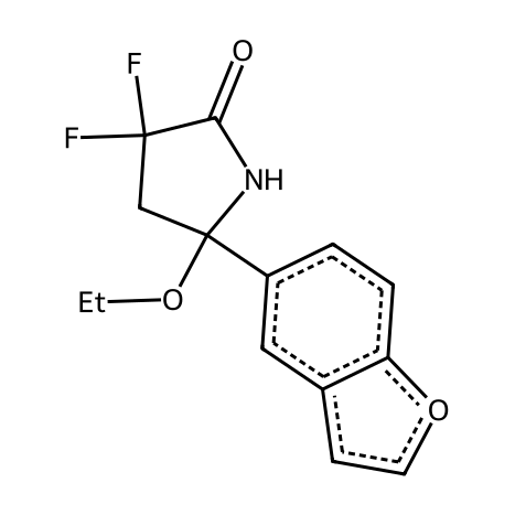 CCOC1(c2ccc3occc3c2)CC(F)(F)C(=O)N1